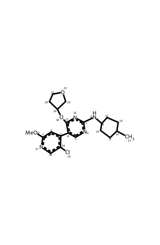 COc1cc(-c2cnc(NC3CCC(C)CC3)nc2OC2CCOC2)c(Cl)cn1